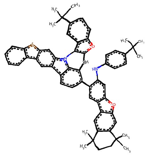 CC(C)(C)c1ccc(Nc2cc3oc4cc5c(cc4c3cc2-c2ccc3c4cc6c(cc4n4c3c2Bc2oc3ccc(C(C)(C)C)cc3c2-4)sc2ccccc26)C(C)(C)CCC5(C)C)cc1